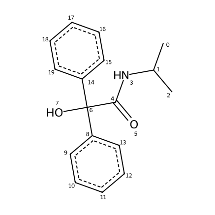 CC(C)NC(=O)C(O)(c1ccccc1)c1ccccc1